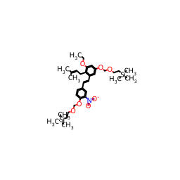 CCOc1cc(OCOCC[Si](C)(C)C)cc(C=Cc2ccc(OCOCC[Si](C)(C)C)c([N+](=O)[O-])c2)c1CC=C(C)C